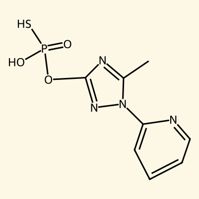 Cc1nc(OP(=O)(O)S)nn1-c1ccccn1